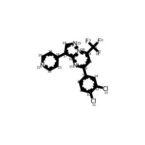 FC(F)(F)c1cc(-c2ccc(Cl)c(Cl)c2)nc2c(-c3ccncc3)cnn12